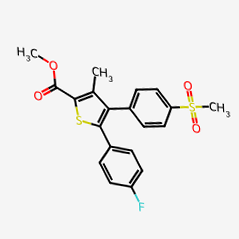 COC(=O)c1sc(-c2ccc(F)cc2)c(-c2ccc(S(C)(=O)=O)cc2)c1C